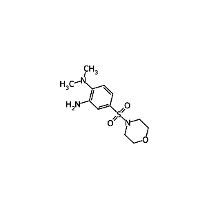 CN(C)c1ccc(S(=O)(=O)N2CCOCC2)cc1N